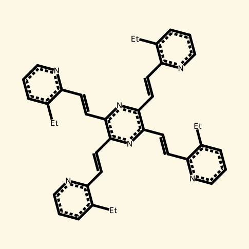 CCc1cccnc1C=Cc1nc(C=Cc2ncccc2CC)c(C=Cc2ncccc2CC)nc1C=Cc1ncccc1CC